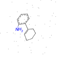 Nc1ccccc1C1=CCCCC1